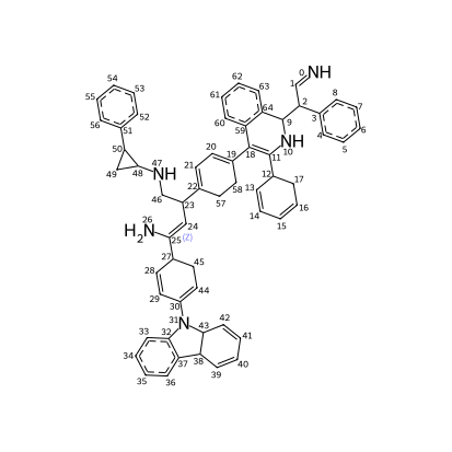 N=CC(c1ccccc1)C1NC(C2C=CC=CC2)=C(C2=CC=C(C(/C=C(\N)C3C=CC(N4c5ccccc5C5C=CC=CC54)=CC3)CNC3CC3c3ccccc3)CC2)c2ccccc21